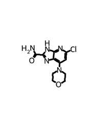 NC(=O)c1nc2c(N3CCOCC3)cc(Cl)nc2[nH]1